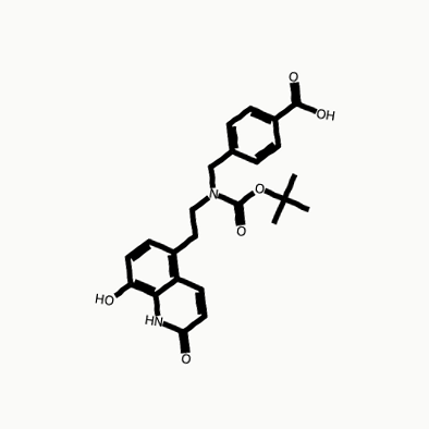 CC(C)(C)OC(=O)N(CCc1ccc(O)c2[nH]c(=O)ccc12)Cc1ccc(C(=O)O)cc1